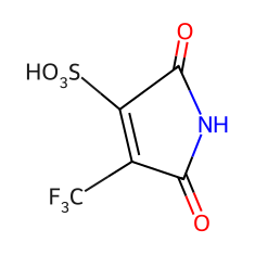 O=C1NC(=O)C(S(=O)(=O)O)=C1C(F)(F)F